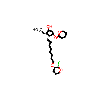 O=C(O)C[C@@H]1[C@@H](C=CCCCCCCO[C@@H]2CCCO[C@H]2Cl)[C@H](OC2CCCCO2)C[C@@H]1O